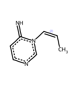 C/C=C\n1cnccc1=N